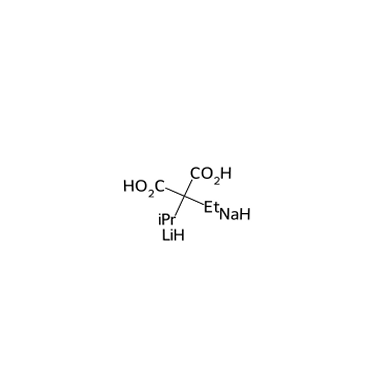 CCC(C(=O)O)(C(=O)O)C(C)C.[LiH].[NaH]